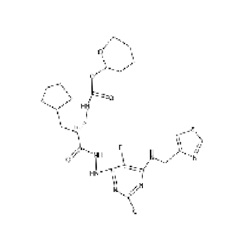 O=C(NC[C@@H](CC1CCCC1)C(=O)NNc1nc(Cl)nc(NCc2cscn2)c1F)OC1CCCCO1